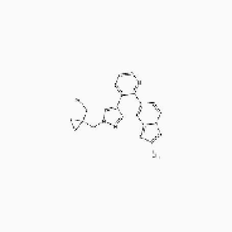 Cc1cn2ccc(-c3ncccc3-c3cnn(CC4(CC(C)C)CC4)c3)cc2n1